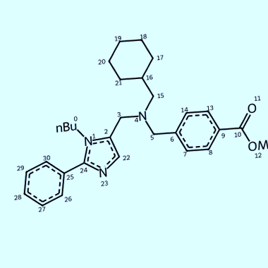 CCCCn1c(CN(Cc2ccc(C(=O)OC)cc2)CC2CCCCC2)cnc1-c1ccccc1